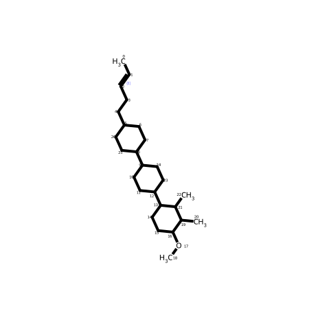 C/C=C/CCC1CCC(C2CCC(C3CCC(OC)C(C)C3C)CC2)CC1